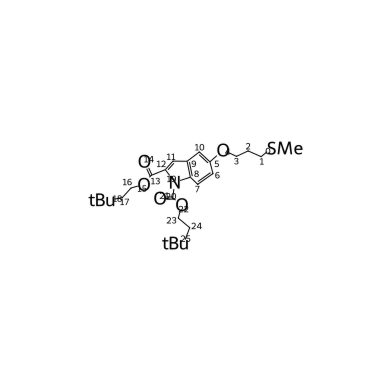 CSCCCOc1ccc2c(c1)cc(C(=O)OCCC(C)(C)C)n2C(=O)OCCC(C)(C)C